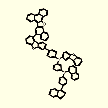 c1cc(N(c2ccc(-c3ccc4c(c3)sc3cccc(-c5cc6c(oc7c8ccccc8c8ccccc8c67)c6ccccc56)c34)cc2)c2ccc3sc4ccccc4c3c2)cc(N(c2ccc(-c3cccc4ccccc34)cc2)c2cccc3ccccc23)c1